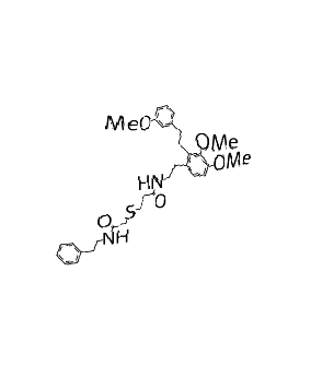 COc1cccc(CCc2c(CCNC(=O)CCSCC(=O)NCCc3ccccc3)ccc(OC)c2OC)c1